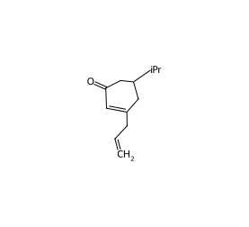 C=CCC1=CC(=O)CC(C(C)C)C1